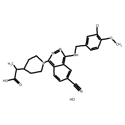 COc1ccc(CNc2nnc(N3CCC(C(C)C(=O)O)CC3)c3ccc(C#N)cc23)cc1Cl.Cl